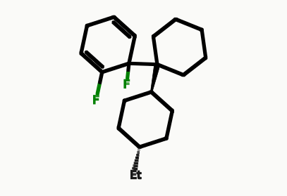 CC[C@H]1CC[C@H](C2(C3(F)C=CCC=C3F)CCCCC2)CC1